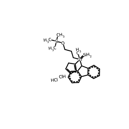 C[Si](C)(C)OCC[CH2][Zr]([CH3])(=[SiH2])([C]1=CC=CC1)[CH]1c2ccccc2-c2ccccc21.Cl.Cl